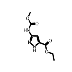 CCOC(=O)c1cc(NC(=O)OC)n[nH]1